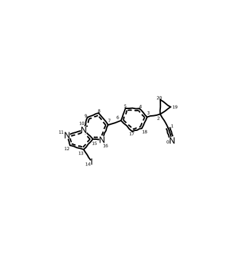 N#CC1(c2ccc(-c3ccn4ncc(I)c4n3)cc2)CC1